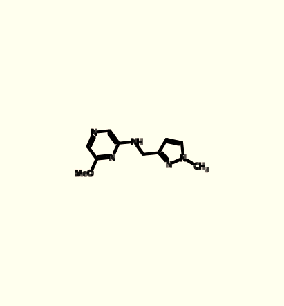 COc1cncc(NCc2ccn(C)n2)n1